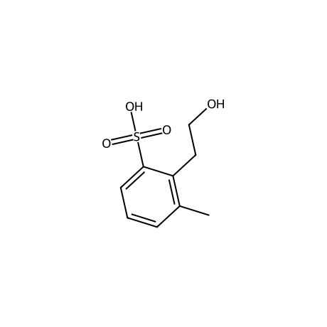 Cc1cccc(S(=O)(=O)O)c1CCO